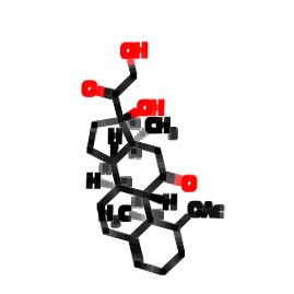 CC(=O)OC1CCC=C2CC[C@H]3[C@@H]4CC[C@](O)(C(=O)CO)[C@@]4(C)CC(=O)[C@@H]3[C@]21C